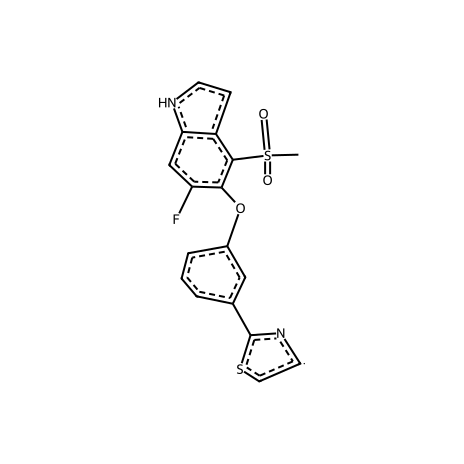 CS(=O)(=O)c1c(Oc2cccc(-c3n[c]cs3)c2)c(F)cc2[nH]ccc12